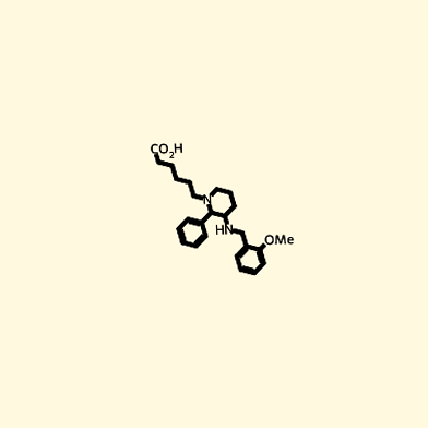 COc1ccccc1CNC1CCCN(CCCCCC(=O)O)C1c1ccccc1